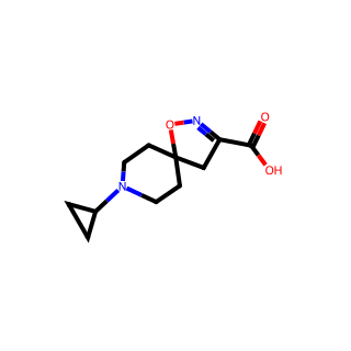 O=C(O)C1=NOC2(CCN(C3CC3)CC2)C1